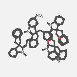 CN1/C(=C/C=C/C2=[N+](C)c3ccc(Br)cc3C2(Cc2ccccc2)Cc2ccc(CC3(Cc4ccccc4)C(/C=C/C=C4/N(C)c5ccccc5C4(Cc4ccccc4)Cc4ccccc4)=[N+](C)c4ccc([N+](=O)[O-])cc43)cc2)C(Cc2ccccc2)(Cc2ccccc2)c2ccccc21